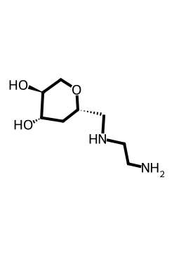 NCCNC[C@@H]1C[C@H](O)[C@@H](O)CO1